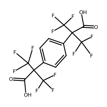 O=C(O)C(c1ccc(C(C(=O)O)(C(F)(F)F)C(F)(F)F)cc1)(C(F)(F)F)C(F)(F)F